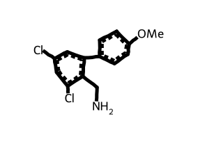 COc1ccc(-c2cc(Cl)cc(Cl)c2CN)cc1